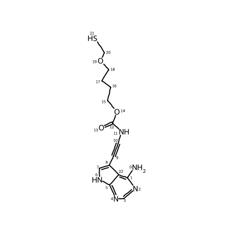 Nc1ncnc2[nH]cc(C#CNC(=O)OCCCCOCS)c12